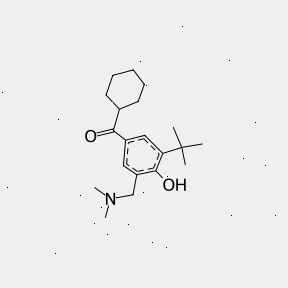 CN(C)Cc1cc(C(=O)C2CCCCC2)cc(C(C)(C)C)c1O